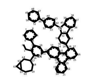 CCc1c(-c2ccccc2)cc(-c2ccc3c(c2)c2c#cccc2c2cccc(C4=CCC5C(=C4)c4ccccc4N5c4ccc(-c5ccccc5)cc4)c23)nc1C1CCCC2CC2C1